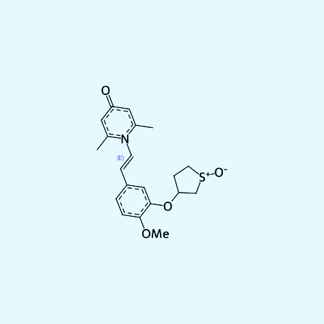 COc1ccc(/C=C/n2c(C)cc(=O)cc2C)cc1OC1CC[S+]([O-])C1